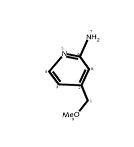 COCc1ccnc(N)c1